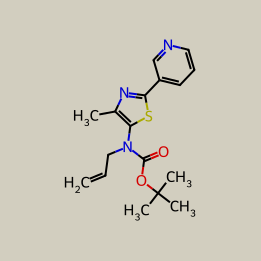 C=CCN(C(=O)OC(C)(C)C)c1sc(-c2cccnc2)nc1C